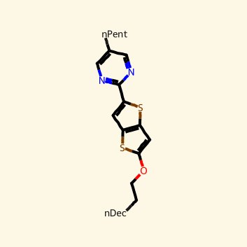 CCCCCCCCCCCCOc1cc2sc(-c3ncc(CCCCC)cn3)cc2s1